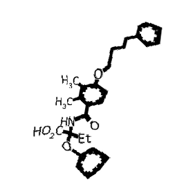 CCC(NC(=O)c1ccc(OCCCCc2ccccc2)c(C)c1C)(Oc1ccccc1)C(=O)O